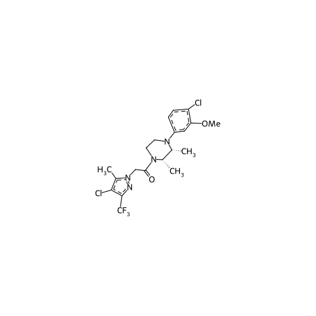 COc1cc(N2CCN(C(=O)Cn3nc(C(F)(F)F)c(Cl)c3C)[C@@H](C)[C@H]2C)ccc1Cl